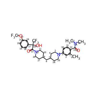 Cc1cc(N2CCC(CC3CCN(C(=O)C(O)(c4cccc(OC(F)(F)F)c4)C(F)(F)F)CC3)CC2)ccc1C(=O)N(C)C